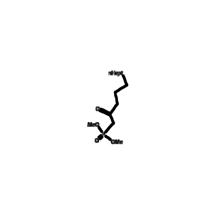 CCCCCCCCCCC(=O)CP(=O)(OC)OC